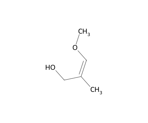 CO/C=C(/C)CO